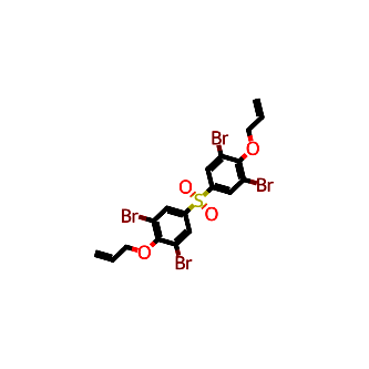 C=CCOc1c(Br)cc(S(=O)(=O)c2cc(Br)c(OCC=C)c(Br)c2)cc1Br